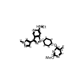 CCNc1cc2c(cn1)c(-c1cnn(C)c1)nn2[C@H]1CC[C@@H](Oc2nc(OC)ncc2F)CC1